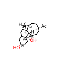 CC(=O)[C@H]1CC[C@H](C)[C@@H]2CCC3C[C@@H](O)CC[C@]3(C)[C@H]2[C@@H](O)CC1